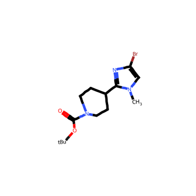 Cn1cc(Br)nc1C1CCN(C(=O)OC(C)(C)C)CC1